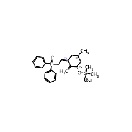 C=C1/C(=C\CP(=O)(c2ccccc2)c2ccccc2)C[C@@H](C)C[C@@H]1O[Si](C)(C)C(C)(C)C